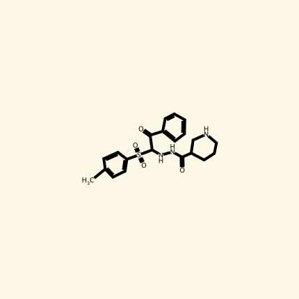 Cc1ccc(S(=O)(=O)C(NNC(=O)C2CCCNC2)C(=O)c2ccccc2)cc1